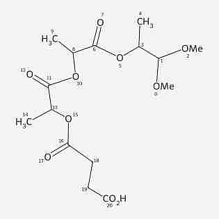 COC(OC)C(C)OC(=O)C(C)OC(=O)C(C)OC(=O)CCC(=O)O